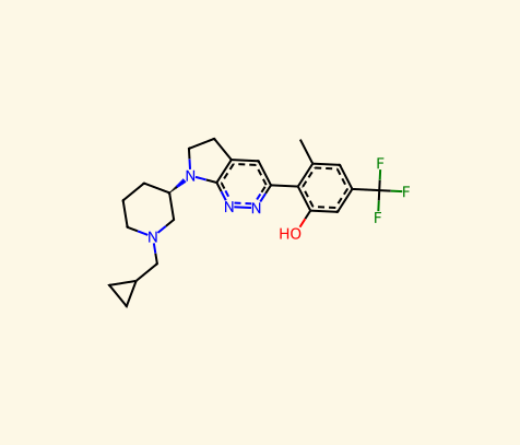 Cc1cc(C(F)(F)F)cc(O)c1-c1cc2c(nn1)N([C@@H]1CCCN(CC3CC3)C1)CC2